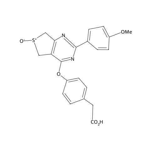 COc1ccc(-c2nc3c(c(Oc4ccc(CC(=O)O)cc4)n2)C[S+]([O-])C3)cc1